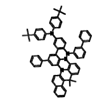 CC(C)(C)c1ccc(N(c2ccc(C(C)(C)C)cc2)c2ccc3c(c2)-c2cc(-c4ccccc4)cc4c2B(c2cccc5c2N4c2ccc4ccccc4c2C5(C)C)N3c2cccc(-c3ccccc3)c2)cc1